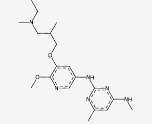 CCN(C)CC(C)COc1cc(Nc2nc(C)cc(NC)n2)cnc1OC